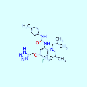 Cc1ccc(NC(=O)Nc2cc(OCc3nnn[nH]3)c(F)cc2N(CC(C)C)CC(C)C)cc1